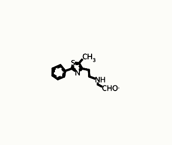 Cc1sc(-c2ccccc2)nc1CCNC[C]=O